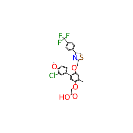 COc1ccc(-c2cc(OCC(=O)O)c(C)cc2OCC2=NC(c3ccc(C(F)(F)F)cc3)CS2)cc1Cl